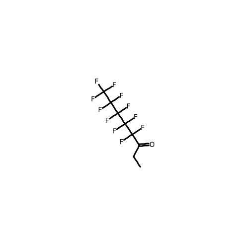 CCC(=O)C(F)(F)C(F)(F)C(F)(F)C(F)(F)C(F)(F)F